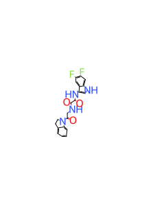 O=C(NCC(=O)N1CCc2ccccc21)C(=O)Nc1c[nH]c2cc(F)c(F)cc12